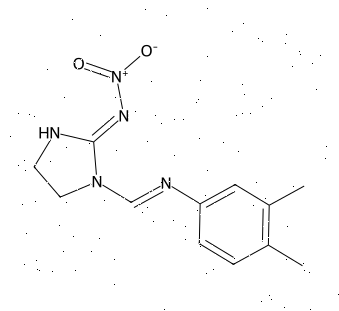 Cc1ccc(/N=C/N2CCN/C2=N\[N+](=O)[O-])cc1C